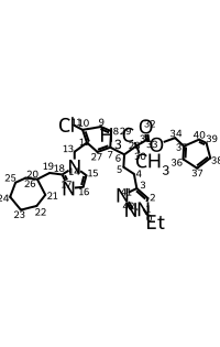 CCn1cc(CCC(c2ccc(Cl)c(Cn3ccnc3CC3CCCCCC3)c2)C(C)(C)C(=O)OCc2ccccc2)nn1